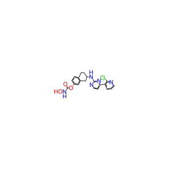 O=C(NO)Oc1ccc2c(c1)CC(Nc1nccc(-c3cccnc3Cl)n1)CC2